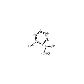 Clc1ccncc1.O=CCBr